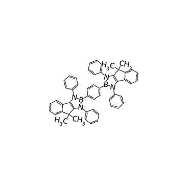 CC1(C)C2=C(c3ccccc31)N(c1ccccc1)B(c1ccc(B3N(c4ccccc4)C4=C(N3c3ccccc3)C(C)(C)c3ccccc34)cc1)N2c1ccccc1